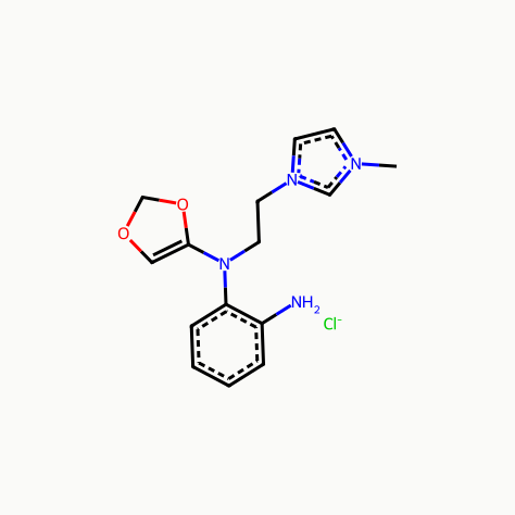 Cn1cc[n+](CCN(C2=COCO2)c2ccccc2N)c1.[Cl-]